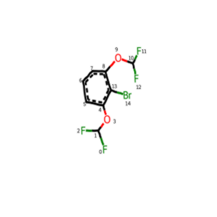 FC(F)Oc1cccc(OC(F)F)c1Br